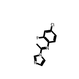 C/C(=N\c1ccc(Cl)cc1F)n1ccnc1